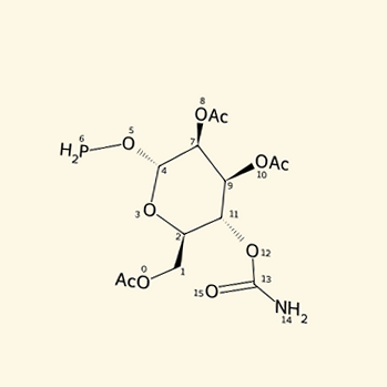 CC(=O)OC[C@H]1O[C@H](OP)[C@@H](OC(C)=O)[C@@H](OC(C)=O)[C@@H]1OC(N)=O